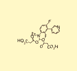 CCN(c1ccc(F)c(-c2cccnc2)c1F)C(OC(=O)CC(=O)O)OC(=O)CC(=O)O